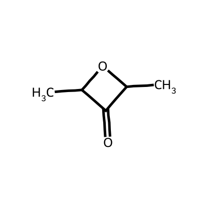 CC1OC(C)C1=O